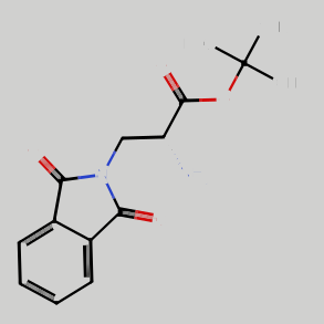 CC(C)(C)OC(=O)[C@H](N)CN1C(=O)c2ccccc2C1=O